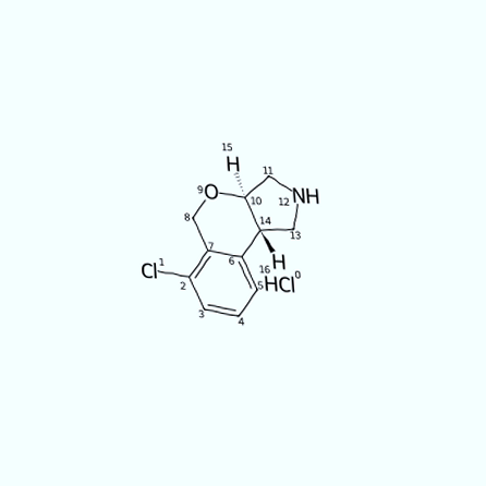 Cl.Clc1cccc2c1CO[C@H]1CNC[C@H]21